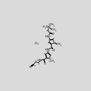 Cn1cc(NC(=O)c2cc(NC(=O)C[N+](C)(C)C)cn2C)cc1C(=O)NCCC#N.[Cl-]